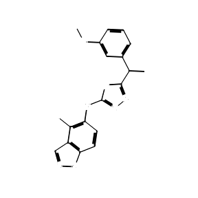 COc1cccc(C(C)c2nnc(Nc3ccc4[nH]ncc4c3Cl)o2)c1